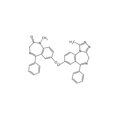 CN1C(=O)CN=C(c2ccccc2)c2cc(Cl)ccc21.Cc1nnc2n1-c1ccc(Cl)cc1C(c1ccccc1)=NC2